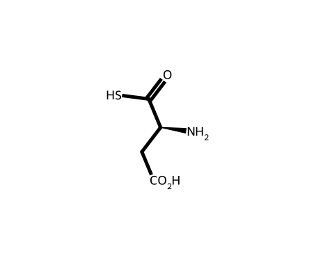 N[C@@H](CC(=O)O)C(=O)S